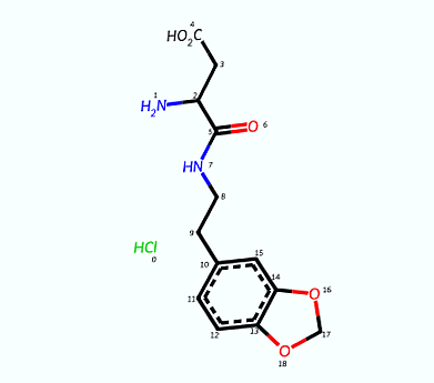 Cl.NC(CC(=O)O)C(=O)NCCc1ccc2c(c1)OCO2